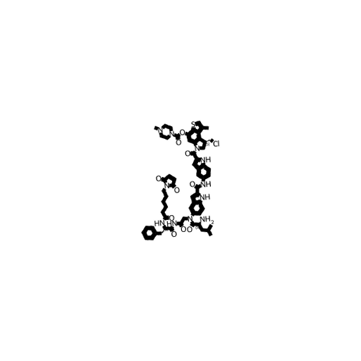 Cc1csc2c(OC(=O)N3CCN(C)CC3)cc3c(c12)[C@H](CCl)CN3C(=O)c1cc2cc(NC(=O)c3cc4cc(N(CC(=O)NC(=O)[C@H](Cc5ccccc5)NC(=O)CCCCCN5C(=O)C=CC5=O)C(=O)[C@@H](N)CC(C)C)ccc4[nH]3)ccc2[nH]1